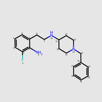 Nc1c(F)cccc1CCNC1CCN(Cc2ccccc2)CC1